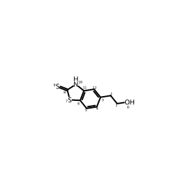 OCCc1ccc2sc(=S)[nH]c2c1